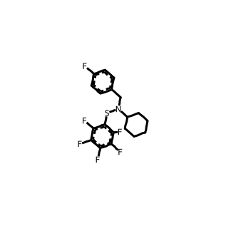 Fc1ccc(CN(Sc2c(F)c(F)c(F)c(F)c2F)C2CCCCC2)cc1